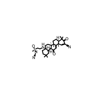 CC1(C)CC[C@]2(NCCS(C)(=O)=NC#N)CC[C@]3(C)[C@H](C(=O)C=C4[C@@]5(C)C=C(C#N)C(=O)C(C)(C)[C@@H]5CC[C@]43C)[C@@H]2C1